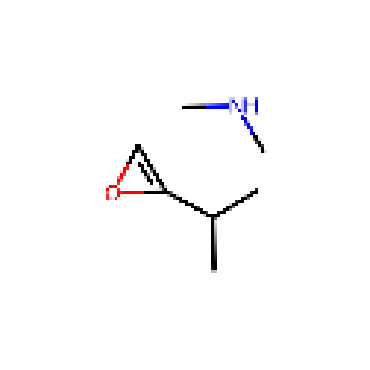 CC(C)C1=CO1.CNC